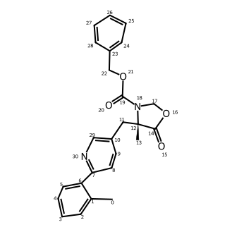 Cc1ccccc1-c1ccc(C[C@@]2(C)C(=O)OCN2C(=O)OCc2ccccc2)cn1